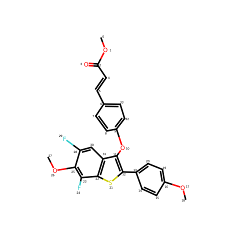 COC(=O)/C=C/c1ccc(Oc2c(-c3ccc(OC)cc3)sc3c(F)c(OC)c(F)cc23)cc1